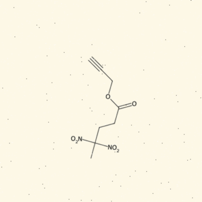 C#CCOC(=O)CCC(C)([N+](=O)[O-])[N+](=O)[O-]